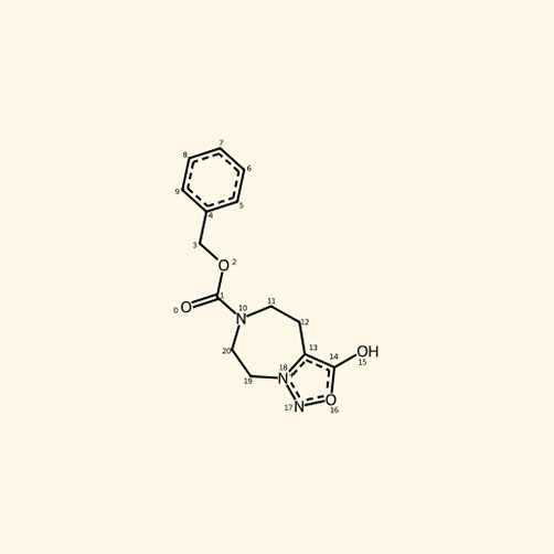 O=C(OCc1ccccc1)N1CCc2c(O)on[n+]2CC1